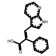 O=C(O)/C(=C/c1c[nH]c2ncccc12)c1ccccc1